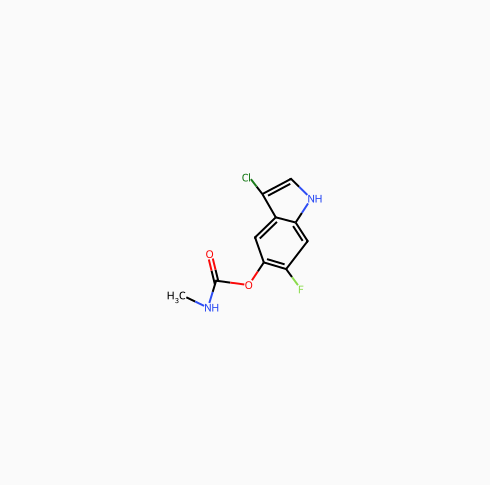 CNC(=O)Oc1cc2c(Cl)c[nH]c2cc1F